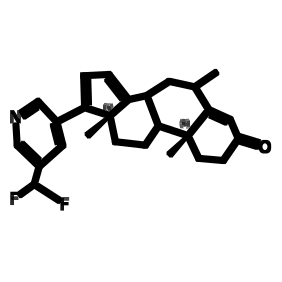 CC1CC2C3=CC=C(c4cncc(C(F)F)c4)[C@@]3(C)CCC2[C@@]2(C)CCC(=O)C=C12